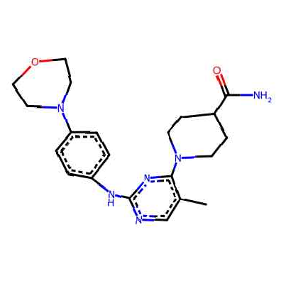 Cc1cnc(Nc2ccc(N3CCOCC3)cc2)nc1N1CCC(C(N)=O)CC1